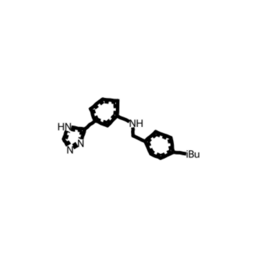 CCC(C)c1ccc(CNc2cccc(-c3nnc[nH]3)c2)cc1